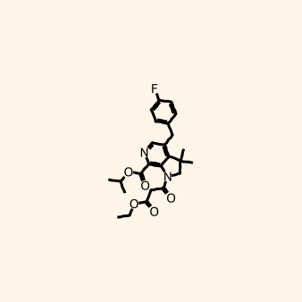 CCOC(=O)CC(=O)N1CC(C)(C)c2c(Cc3ccc(F)cc3)cnc(C(=O)OC(C)C)c21